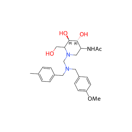 COc1ccc(CN(Cc2ccc(C)cc2)CN2CC(NC(C)=O)[C@@H](O)[C@H](O)C2CO)cc1